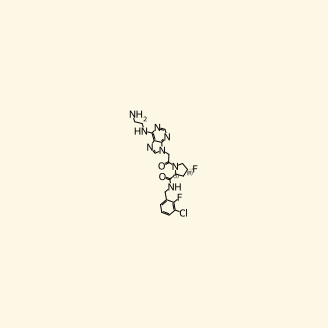 NCCNc1ncnc2c1ncn2CC(=O)N1C[C@H](F)C[C@H]1C(=O)NCc1cccc(Cl)c1F